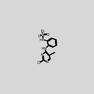 CCS(=O)(=O)Nc1ccccc1Nc1nc(Cl)ncc1C